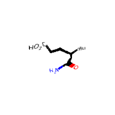 CCCCC(CCC(=O)O)C(N)=O